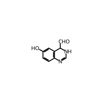 O=CC1NC=Nc2ccc(O)cc21